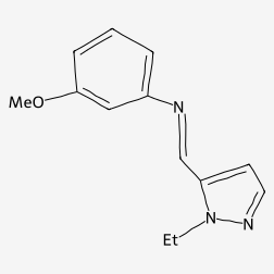 CCn1nccc1C=Nc1cccc(OC)c1